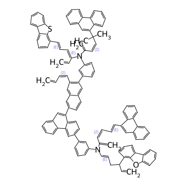 C=C/C=C\c1cc2cc(-c3cc4ccccc4c4cc(-c5cccc(N(/C=C/CC(C=C)c6cccc7c6oc6ccccc67)C(=C)/C=C\C=C\c6cc7ccccc7c7ccccc67)c5)ccc34)ccc2cc1-c1cccc(N(C(=C)/C=C\C(C)(C)c2cc3ccccc3c3ccccc23)/C(C=C)=C/C=C/c2cccc3c2sc2ccccc23)c1